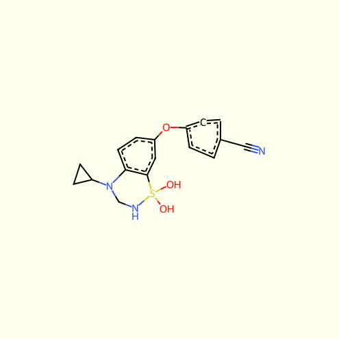 N#Cc1ccc(Oc2ccc3c(c2)S(O)(O)NCN3C2CC2)cc1